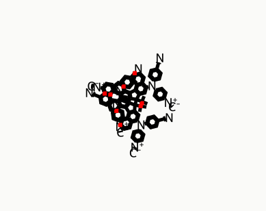 [C-]#[N+]c1ccc(N(c2ccc(C#N)cc2)c2cc3c(c4ccccc24)-c2c(cc(N(c4ccc(C#N)cc4)c4ccc([N+]#[C-])cc4)c4ccccc24)C3(C(C)(C)C)C2(C(C)(C)C)c3cc(N(c4ccc(C#N)cc4)c4ccc([N+]#[C-])cc4)c4ccccc4c3-c3c2cc(N(c2ccc(C#N)cc2)c2ccc([N+]#[C-])cc2)c2ccccc32)cc1